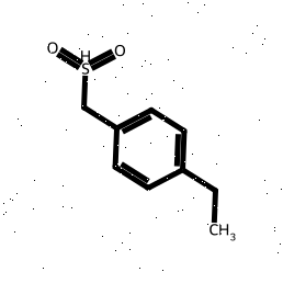 CCc1ccc(C[SH](=O)=O)cc1